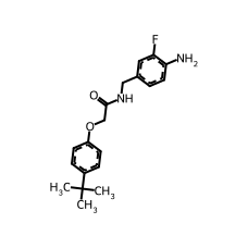 CC(C)(C)c1ccc(OCC(=O)NCc2ccc(N)c(F)c2)cc1